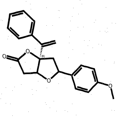 C=C(c1ccccc1)[C@]12CC(c3ccc(OC)cc3)OC1CC(=O)O2